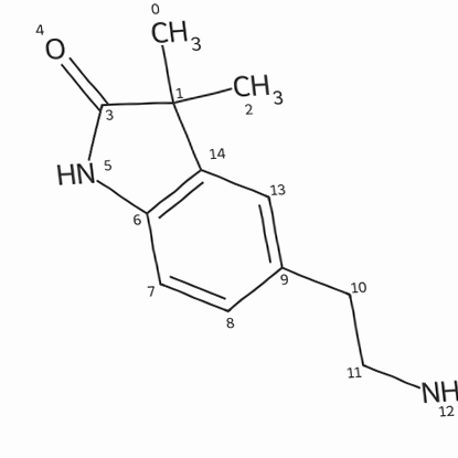 CC1(C)C(=O)Nc2ccc(CCN)cc21